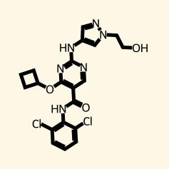 O=C(Nc1c(Cl)cccc1Cl)c1cnc(Nc2cnn(CCO)c2)nc1OC1CCC1